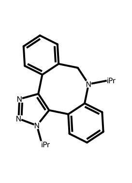 CC(C)N1Cc2ccccc2-c2nnn(C(C)C)c2-c2ccccc21